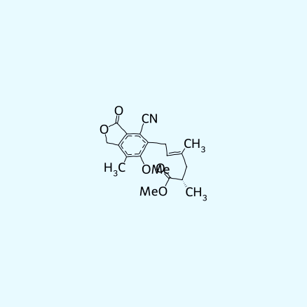 COC(=O)[C@@H](C)C/C(C)=C/Cc1c(C#N)c2c(c(C)c1OC)COC2=O